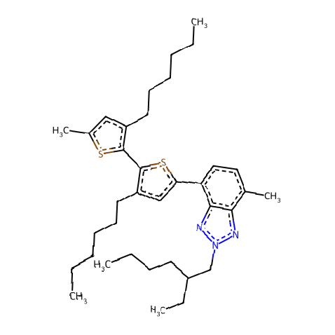 CCCCCCc1cc(C)sc1-c1sc(-c2ccc(C)c3nn(CC(CC)CCCC)nc23)cc1CCCCCC